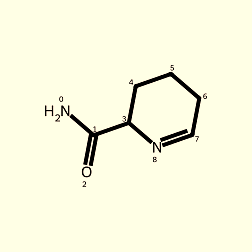 NC(=O)C1CCCC=N1